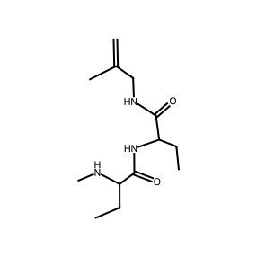 C=C(C)CNC(=O)C(CC)NC(=O)C(CC)NC